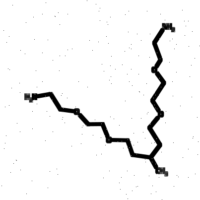 CC(CCOCCOCCN)CCOCCOCCN